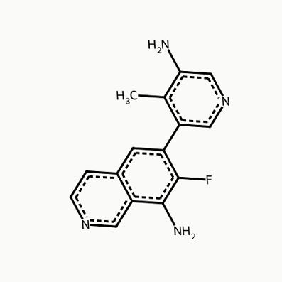 Cc1c(N)cncc1-c1cc2ccncc2c(N)c1F